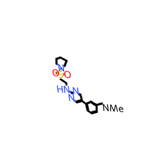 CNCc1cccc(-c2cnc(NCCS(=O)(=O)N3CCCCC3)nc2)c1